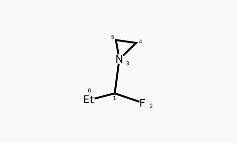 CCC(F)N1CC1